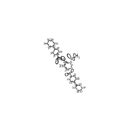 COC(=O)c1cc(OC(=O)c2ccc(-c3ccccc3)cc2)ccc1OC(=O)c1ccc(-c2ccccc2)cc1